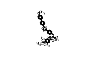 COc1ccc(-c2ccc(-c3nc(-c4ccc(C[C@H](NC(=O)c5ccc(C(C)(C)C)cc5)C(=O)O)cc4)no3)cc2)cc1